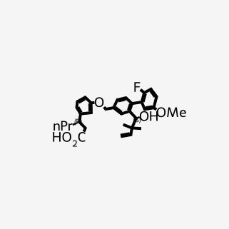 C=CC(C)(C)[C@H](O)c1cc(COc2cccc([C@H](CCC)CC(=O)O)c2)ccc1-c1cc(OC)ccc1F